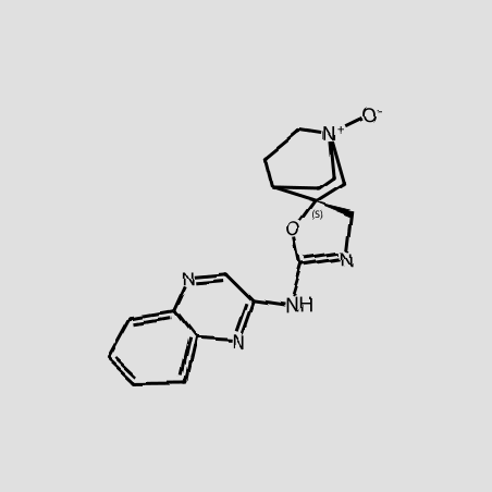 [O-][N+]12CCC(CC1)[C@]1(CN=C(Nc3cnc4ccccc4n3)O1)C2